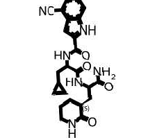 N#Cc1cccc2[nH]c(C(=O)NC(CC3CC3)C(=O)NC(C[C@@H]3CCCNC3=O)C(N)=O)cc12